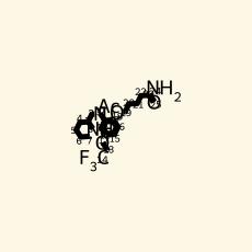 CC(=O)N(CC1CCCCN1)c1cc(OCC(F)(F)F)ccc1OCCCCC(N)=O